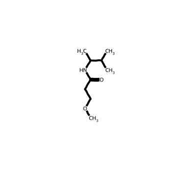 COCCC(=O)NC(C)C(C)C